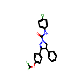 O=C(Nc1ccc(Cl)cc1)N1CC(c2ccccc2)C(c2ccc(OC(F)F)cc2)=N1